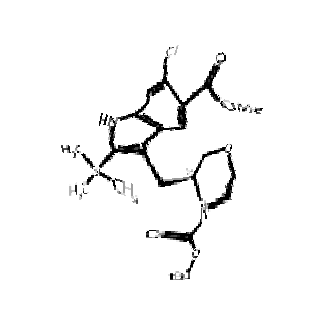 COC(=O)c1cc2c(C[C@H]3COCCN3C(=O)OC(C)(C)C)c([Si](C)(C)C)[nH]c2cc1Cl